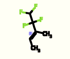 C/C=C(\C)C(F)(F)C(F)F